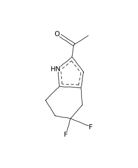 CC(=O)c1cc2c([nH]1)CCC(F)(F)C2